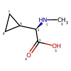 CN[C@@H](C(=O)O)C1CC1